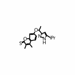 Cc1c(C)c2ccc(OC(C)c3cc(C(C)C)[nH]n3)cc2oc1=S